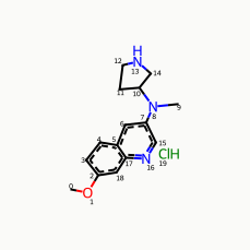 COc1ccc2cc(N(C)C3CCNC3)cnc2c1.Cl